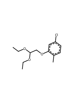 CCOC(COc1cc(Cl)ccc1C)OCC